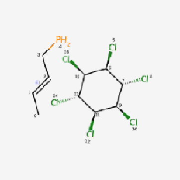 C/C=C/CP.Cl[C@H]1[C@H](Cl)[C@@H](Cl)[C@@H](Cl)[C@H](Cl)[C@H]1Cl